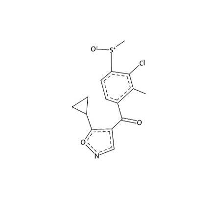 Cc1c(C(=O)c2cnoc2C2CC2)ccc([S+](C)[O-])c1Cl